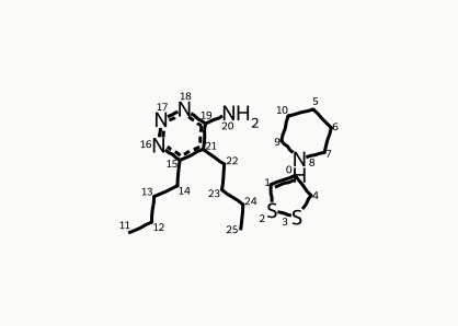 C1=CSSC1.C1CCNCC1.CCCCc1nnnc(N)c1CCCC